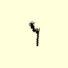 CCCCCCCCCCCCc1csc(N2CC=C(c3ccc([N+](=O)[O-])cc3)N2)c1